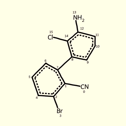 N#Cc1c(Br)cccc1-c1cccc(N)c1Cl